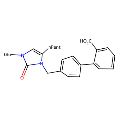 CCCCCc1cn(C(C)(C)C)c(=O)n1Cc1ccc(-c2ccccc2C(=O)O)cc1